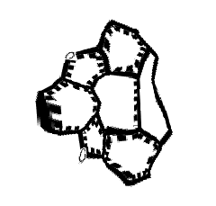 c1cc2oc3ccc4oc5ccc6c7c(c1C6)c2c3c4c57